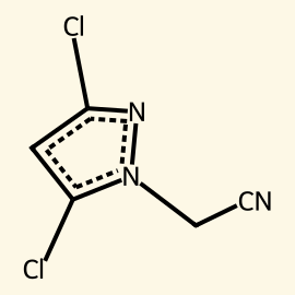 N#CCn1nc(Cl)cc1Cl